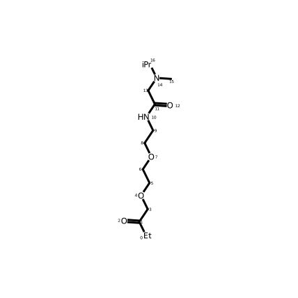 CCC(=O)COCCOCCNC(=O)CN(C)C(C)C